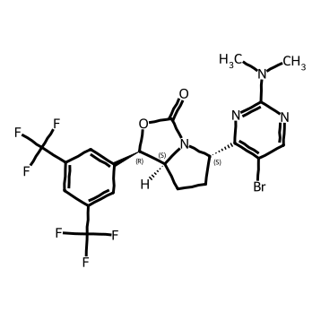 CN(C)c1ncc(Br)c([C@@H]2CC[C@H]3[C@@H](c4cc(C(F)(F)F)cc(C(F)(F)F)c4)OC(=O)N23)n1